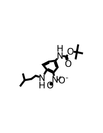 CC(C)CCNc1ccc(NC(=O)OC(C)(C)C)cc1[N+](=O)[O-]